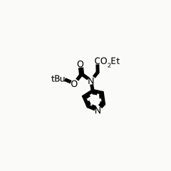 CCOC(=O)CN(C(=O)OC(C)(C)C)c1ccncc1